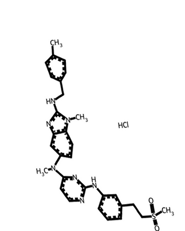 Cc1ccc(CNc2nc3cc(N(C)c4ccnc(Nc5cccc(CCS(C)(=O)=O)c5)n4)ccc3n2C)cc1.Cl